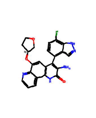 Nc1c(-c2ccc(F)c3[nH]ncc23)c2cc(O[C@H]3CCOC3)c3ncccc3c2[nH]c1=O